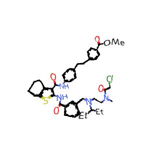 CCC(CC)N(CCN(C)C(=O)CCl)Cc1cccc(C(=O)Nc2sc3c(c2C(=O)Nc2ccc(CCc4ccc(C(=O)OC)cc4)cc2)CCCC3)c1